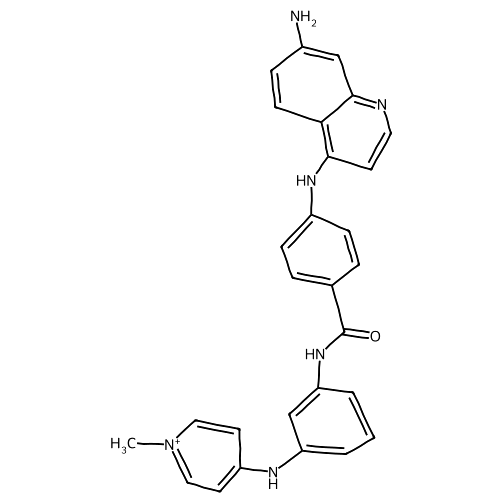 C[n+]1ccc(Nc2cccc(NC(=O)c3ccc(Nc4ccnc5cc(N)ccc45)cc3)c2)cc1